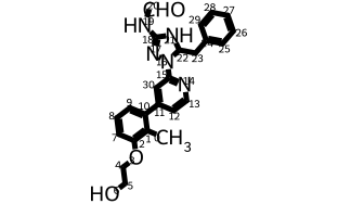 Cc1c(OCCO)cccc1-c1ccnc(N2N=C(NC=O)NC2Cc2ccccc2)c1